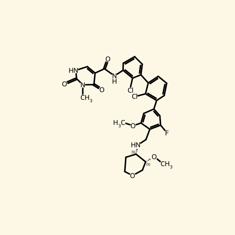 COc1cc(-c2cccc(-c3cccc(NC(=O)c4c[nH]c(=O)n(C)c4=O)c3Cl)c2Cl)cc(F)c1CN[C@H]1CCOC[C@H]1OC